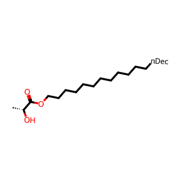 CCCCCCCCCCCCCCCCCCCCCCOC(=O)[C@@H](C)O